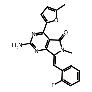 Cc1ccc(-c2nc(N)nc3c2C(=O)N(C)C3=Cc2ccccc2F)o1